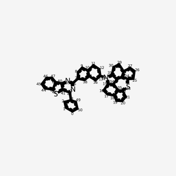 c1ccc(-c2nc(-c3ccc4ccc(-n5c6ccc7cccc8sc9cccc%10ccc5c(c%109)c6c78)cc4c3)nc3c2sc2ccccc23)cc1